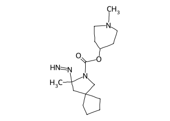 CN1CCC(OC(=O)N2CC3(CCCC3)CC2(C)N=N)CC1